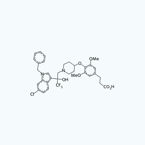 COc1cc(CCC(=O)O)cc(OC)c1OC1CCN(CC(O)(c2cn(Cc3ccccc3)c3cc(Cl)ccc23)C(F)(F)F)CC1